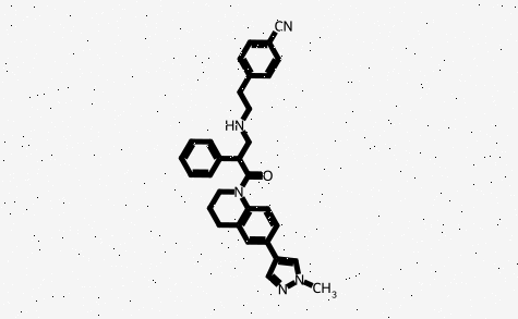 Cn1cc(-c2ccc3c(c2)CCCN3C(=O)C(CNCCc2ccc(C#N)cc2)c2ccccc2)cn1